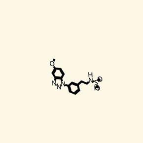 COc1ccc2c(c1)nnn2-c1cccc(CCN[SH](=O)=O)c1